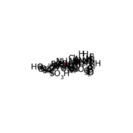 C=CS(=O)(=O)c1ccc(Nc2nc(F)nc(NC(C)CNc3nc(Cl)nc(Nc4ccc(N=Nc5cc(NC(C)=O)c(N=Nc6cc7c(S(=O)(=O)O)cc(SOOO)cc7cc6S(=O)(=O)O)cc5OC)c5cccc(S(=O)(=O)O)c45)n3)n2)cc1